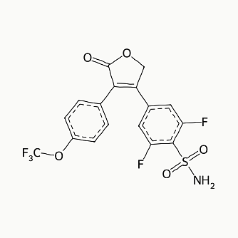 NS(=O)(=O)c1c(F)cc(C2=C(c3ccc(OC(F)(F)F)cc3)C(=O)OC2)cc1F